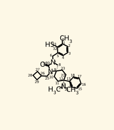 Cc1cccc(CN2C[C@]3(CC[C@@](c4ccccc4)(N(C)C)CC3)N(CC3CCC3)C2=O)c1S